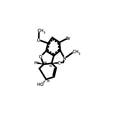 COc1cc(Br)c2c3c1O[C@H]1C[C@@H](O)C=C[C@@]31CCN2C